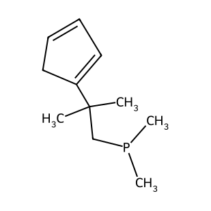 CP(C)CC(C)(C)C1=CC=CC1